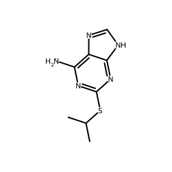 CC(C)Sc1nc(N)c2nc[nH]c2n1